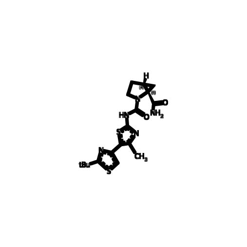 Cc1nc(NC(=O)N2CC[C@@H]3C[C@@]32C(N)=O)sc1-c1csc(C(C)(C)C)n1